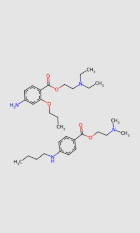 CCCCNc1ccc(C(=O)OCCN(C)C)cc1.CCCOc1cc(N)ccc1C(=O)OCCN(CC)CC